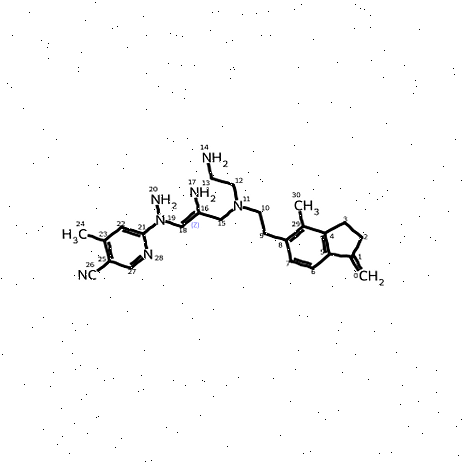 C=C1CCc2c1ccc(CCN(CCN)C/C(N)=C/N(N)c1cc(C)c(C#N)cn1)c2C